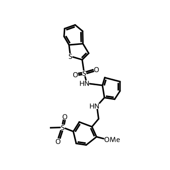 COc1ccc(S(C)(=O)=O)cc1CNc1ccccc1NS(=O)(=O)c1cc2ccccc2s1